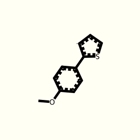 COc1ccc(-c2[c]ccs2)cc1